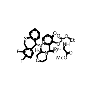 CCOP(=O)(N[C@H](C(=O)OC)C(C)C)Oc1c2n(ccc1=O)N([C@@H]1c3ccccc3SCc3c1ccc(F)c3F)[C@@H]1COCCN1C2=O